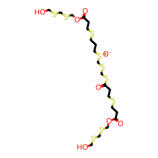 O=C(CCSCCC[S+]([O-])CSCSC(=O)CCSCCC(=O)OCSCSCO)OCSCSCO